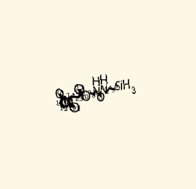 O=C(NCCC[SiH3])NCCOC(=O)CCN1C(=O)C=CC1=O